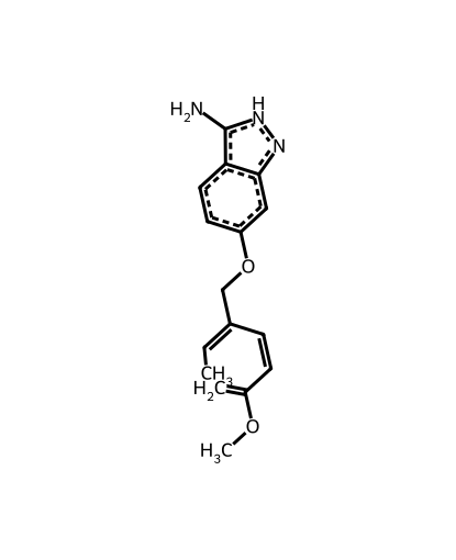 C=C(/C=C\C(=C/C)COc1ccc2c(N)[nH]nc2c1)OC